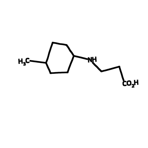 CC1CCC(NCCC(=O)O)CC1